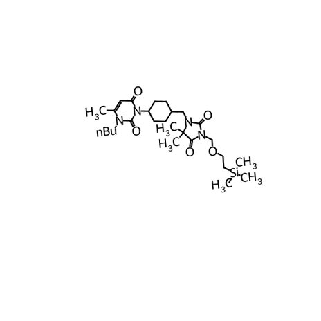 CCCCn1c(C)cc(=O)n(C2CCC(CN3C(=O)N(COCC[Si](C)(C)C)C(=O)C3(C)C)CC2)c1=O